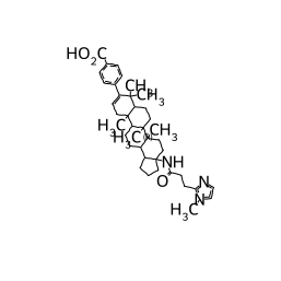 Cn1ccnc1CCC(=O)NC12CCCC1C1CCC3C4(C)CC=C(c5ccc(C(=O)O)cc5)C(C)(C)C4CCC3(C)[C@]1(C)CC2